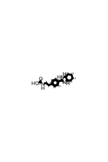 O=C(O)NCCc1ccc(C2=N[C@@H]3CCCC[C@H]3N2)cc1